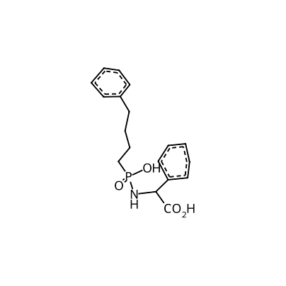 O=C(O)C(NP(=O)(O)CCCCc1ccccc1)c1ccccc1